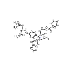 CC/C(=C(/c1ccc(OCC(CN(C)C)OC(C)=O)cc1)c1ccc(OC(=O)c2ccccc2)cc1)c1ccc2c(c1)OCO2